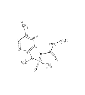 CCOC(=O)NC(=S)N=S(C)(=O)C(C)c1ccc(C(F)(F)F)nc1